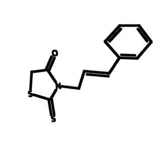 O=C1CSC(=S)N1C/C=C/c1ccccc1